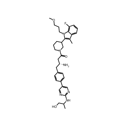 COCCCn1c(C2CCCN(C(=O)C[C@H](N)Cc3ccc(-c4cnc(NC(C)CO)nc4)cc3)C2)c(C)c2cccc(F)c21